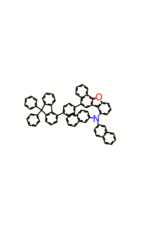 c1ccc(C2(c3ccccc3)c3ccccc3-c3c(-c4ccc(-c5cc6c(oc7cccc(N(c8ccc9ccccc9c8)c8ccc9ccccc9c8)c76)c6ccccc56)cc4)cccc32)cc1